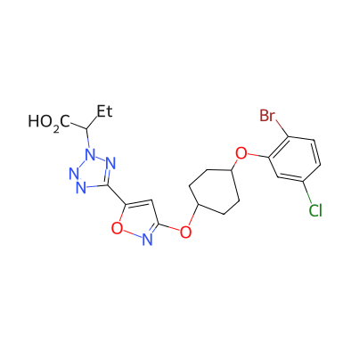 CCC(C(=O)O)n1nnc(-c2cc(OC3CCC(Oc4cc(Cl)ccc4Br)CC3)no2)n1